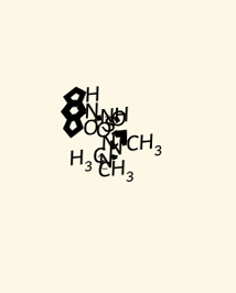 Cc1cc(S(=O)(=O)NC(=O)Nc2c3c(cc4c2CCC4)CCC3)nn1CN(C)C